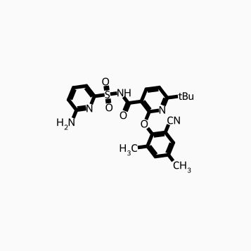 Cc1cc(C)c(Oc2nc(C(C)(C)C)ccc2C(=O)NS(=O)(=O)c2cccc(N)n2)c(C#N)c1